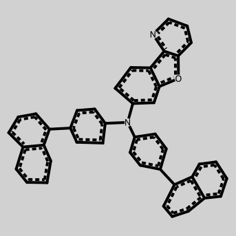 c1ccc2c(-c3ccc(N(c4ccc(-c5cccc6ccccc56)cc4)c4ccc5c(c4)oc4cccnc45)cc3)cccc2c1